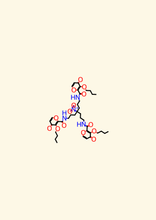 CCCCOc1c(C(=O)NCCCC(CCCNC(=O)c2occc(=O)c2OCCCC)(CCCNC(=O)c2occc(=O)c2OCCCC)[N+](=O)[O-])occc1=O